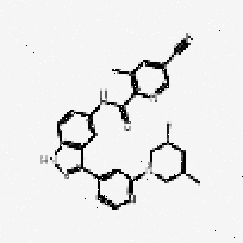 Cc1cc(C#N)cnc1C(=O)Nc1ccc2[nH]nc(-c3ccnc(N4C[C@H](C)C[C@H](C)C4)c3)c2c1